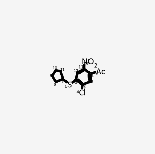 CC(=O)c1cc(Cl)c(SC2CCCC2)cc1[N+](=O)[O-]